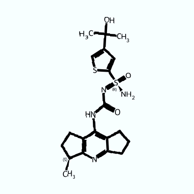 C[C@H]1CCc2c1nc1c(c2NC(=O)N=[S@@](N)(=O)c2cc(C(C)(C)O)cs2)CCC1